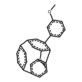 COc1[c]ccc(-c2cc3[c]c(OC)c2-c2ccc(cc2)-c2ccc-3cc2)c1